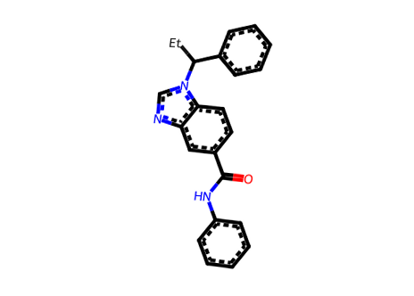 CCC(c1ccccc1)n1cnc2cc(C(=O)Nc3ccccc3)ccc21